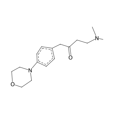 CN(C)CCC(=O)Cc1ccc(N2CCOCC2)cc1